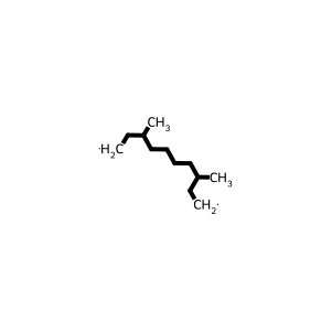 [CH2]CC(C)CCCCC(C)C[CH2]